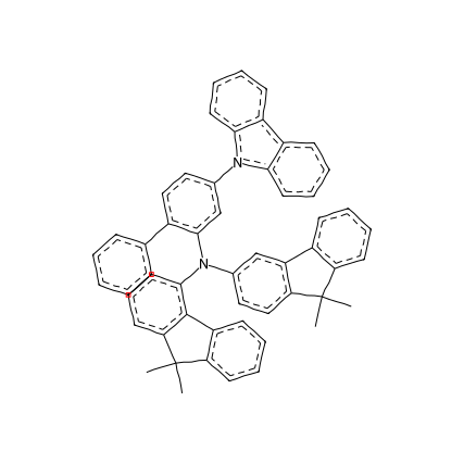 CC1(C)c2ccccc2-c2cc(N(c3cc(-n4c5ccccc5c5ccccc54)ccc3-c3ccccc3)c3cccc4c3-c3ccccc3C4(C)C)ccc21